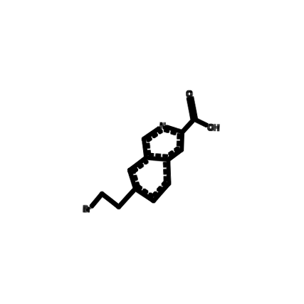 O=C(O)c1cc2ccc(CCBr)cc2cn1